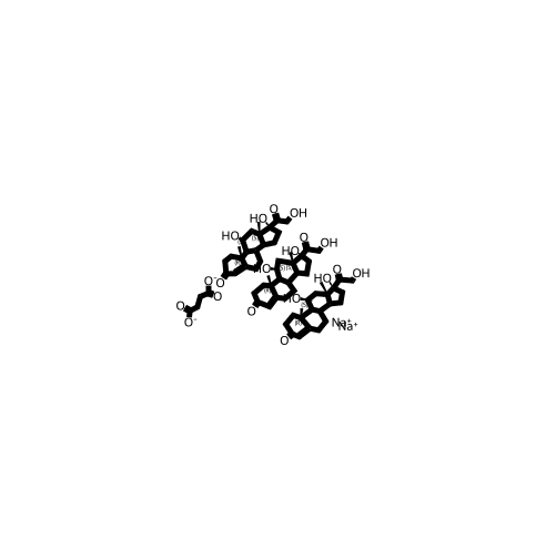 C[C@]12CCC(=O)C=C1CCC1C2[C@@H](O)C[C@@]2(C)C1CC[C@]2(O)C(=O)CO.C[C@]12CCC(=O)C=C1CCC1C2[C@@H](O)C[C@@]2(C)C1CC[C@]2(O)C(=O)CO.C[C@]12CCC(=O)C=C1CCC1C2[C@@H](O)C[C@@]2(C)C1CC[C@]2(O)C(=O)CO.O=C([O-])CCC(=O)[O-].[Na+].[Na+]